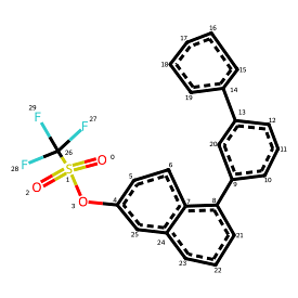 O=S(=O)(Oc1ccc2c(-c3cccc(-c4ccccc4)c3)cccc2c1)C(F)(F)F